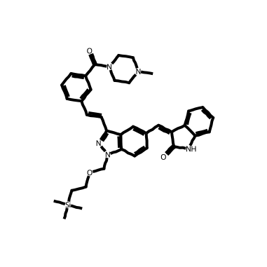 CN1CCN(C(=O)c2cccc(C=Cc3nn(COCC[Si](C)(C)C)c4ccc(C=C5C(=O)Nc6ccccc65)cc34)c2)CC1